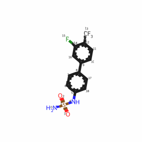 NS(=O)(=O)Nc1ccc(-c2ccc(C(F)(F)F)c(F)c2)cc1